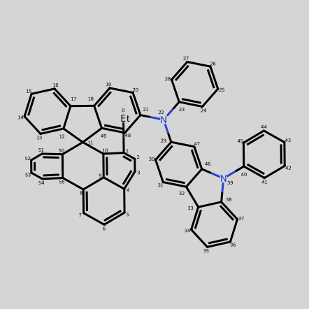 CCc1ccc2cccc3c2c1C1(c2ccccc2-c2ccc(N(c4ccccc4)c4ccc5c6ccccc6n(-c6ccccc6)c5c4)cc21)c1ccccc1-3